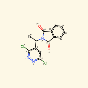 CCC(c1cc(Cl)nnc1Cl)N1C(=O)c2ccccc2C1=O